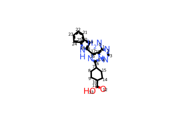 Nc1ncnn2c(C3CCC(C(=O)O)CC3)nc(-c3cc4ccccc4[nH]3)c12